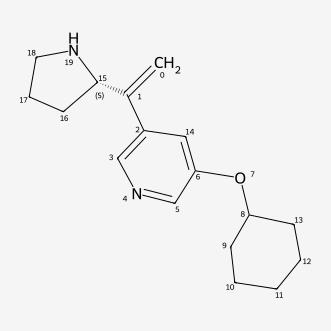 C=C(c1cncc(OC2CCCCC2)c1)[C@@H]1CCCN1